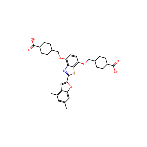 Cc1cc(C)c2cc(-c3nc4c(OCC5CCC(C(=O)O)CC5)ccc(OCC5CCC(C(=O)O)CC5)c4s3)oc2c1